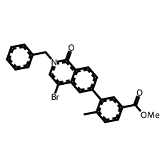 COC(=O)c1ccc(C)c(-c2ccc3c(=O)n(Cc4ccccc4)cc(Br)c3c2)c1